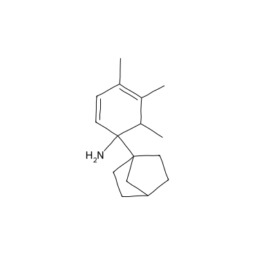 CC1=C(C)C(C)C(N)(C23CCC(CC2)C3)C=C1